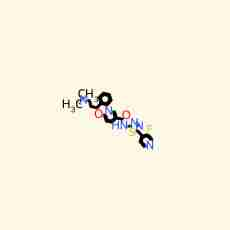 CN(C)CCC(Oc1ccc(C(=O)Nc2nnc(-c3ccncc3F)s2)cn1)c1ccccc1